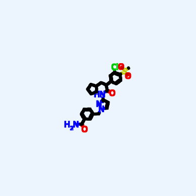 CS(=O)(=O)c1ccc(C(CC2CCCC2)C(=O)Nc2ccn(Cc3cccc(C(N)=O)c3)n2)cc1Cl